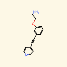 NCCOc1cccc(C#Cc2ccncc2)c1